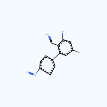 N=Cc1c(N)cc(Cl)cc1-c1ccc(N=N)cc1